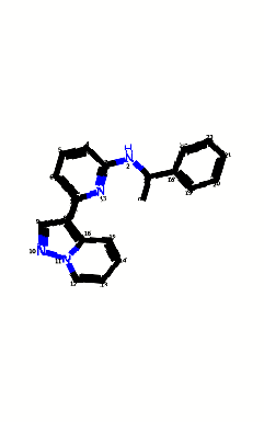 CC(Nc1cccc(-c2cnn3ccccc23)n1)c1ccccc1